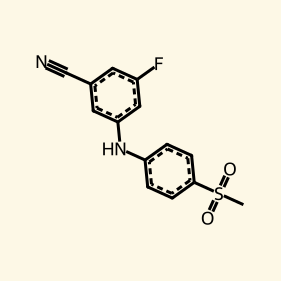 CS(=O)(=O)c1ccc(Nc2cc(F)cc(C#N)c2)cc1